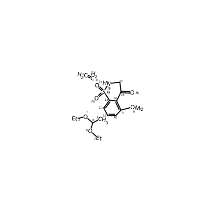 C=C.CCOC(C)OCC.COc1cccc2c1C(=O)CNS2(=O)=O